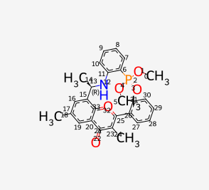 COP(=O)(OC)c1ccccc1N[C@H](C)c1cc(C)cc2c(=O)c(C)c(-c3ccccc3)oc12